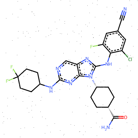 N#Cc1cc(F)c(Nc2nc3cnc(NC4CCC(F)(F)CC4)nc3n2[C@H]2CC[C@@H](C(N)=O)CC2)c(Cl)c1